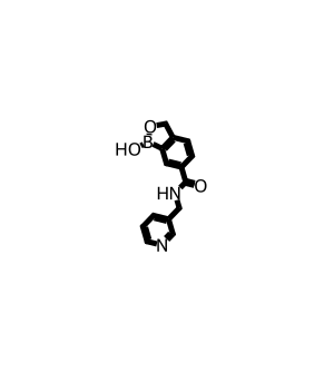 O=C(NCc1cccnc1)c1ccc2c(c1)B(O)OC2